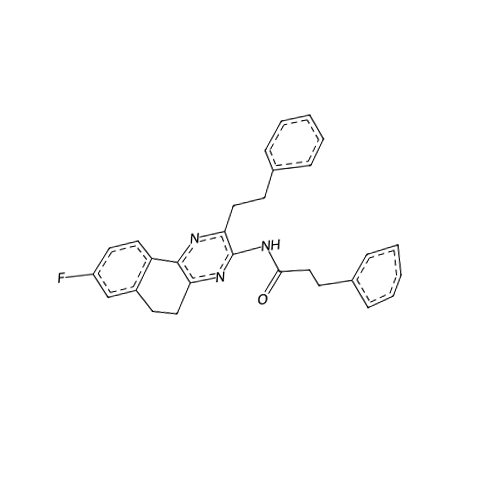 O=C(CCc1ccccc1)Nc1nc2c(nc1CCc1ccccc1)-c1ccc(F)cc1CC2